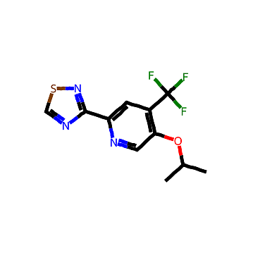 CC(C)Oc1cnc(-c2ncsn2)cc1C(F)(F)F